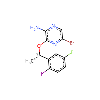 C[C@H](Oc1nc(Br)cnc1N)c1cc(F)ccc1I